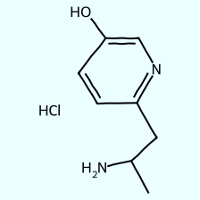 CC(N)Cc1ccc(O)cn1.Cl